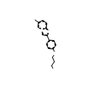 Cc1ccc2nc(-c3ccc(OCCCF)cc3)cn2c1